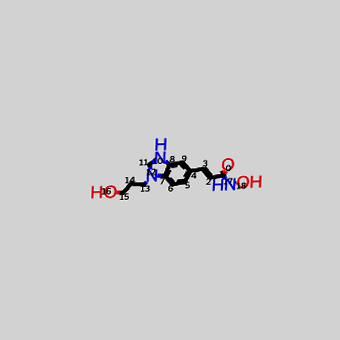 O=C(/C=C/c1ccc2c(c1)NCN2CCCO)NO